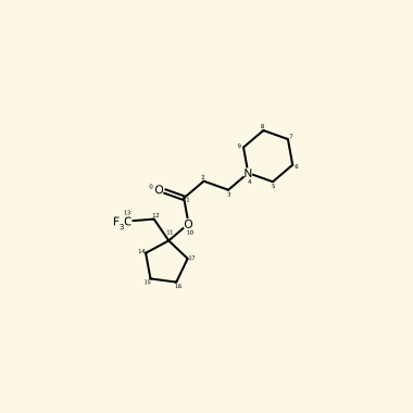 O=C(CCN1CCCCC1)OC1(CC(F)(F)F)CCCC1